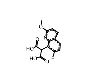 COc1ccc2ccc(F)c(C(C(=O)O)C(=O)O)c2n1